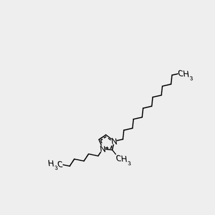 CCCCCCCCCCCCCn1cc[n+](CCCCCC)c1C